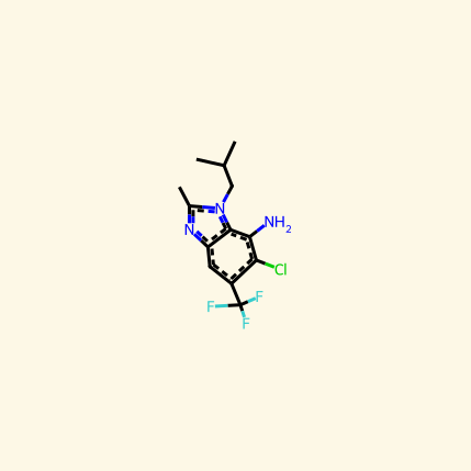 Cc1nc2cc(C(F)(F)F)c(Cl)c(N)c2n1CC(C)C